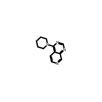 c1cc2c(N3CCCCC3)ncnc2cn1